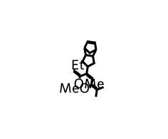 CC/C=C(OC)\C(=C/C(OC)=C(C)C)C1CC2C3C=CC(C3)C2C1